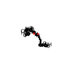 COc1cc(N2CCC(N3CCN(CCCCCC#Cc4cccc5cn(C6CCC(=O)NC6=O)cc45)CC3)CC2)ccc1Nc1ncc(Cl)c(Nc2ccccc2P(C)(C)=O)n1